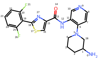 NC1CCCN(c2ccncc2NC(=O)c2csc(-c3c(F)cccc3F)n2)C1